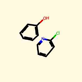 Clc1ccccn1.Oc1ccccc1